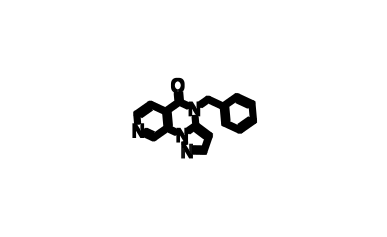 O=c1c2ccncc2n2nccc2n1Cc1ccccc1